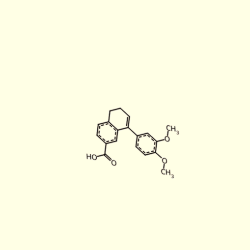 COc1ccc(C2=CCCc3ccc(C(=O)O)cc32)cc1OC